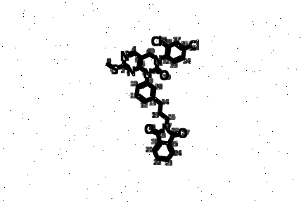 CSc1ncc2c(n1)N(c1cccc(CCCN3C(=O)c4ccccc4C3=O)c1)C(=O)N(c1ccc(Cl)cc1Cl)C2